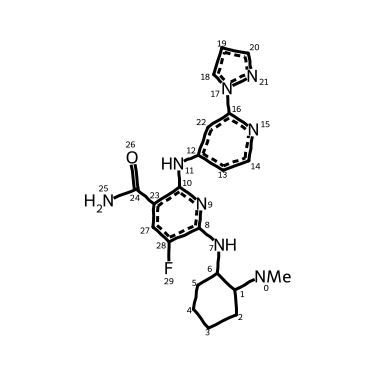 CNC1CCCCC1Nc1nc(Nc2ccnc(-n3cccn3)c2)c(C(N)=O)cc1F